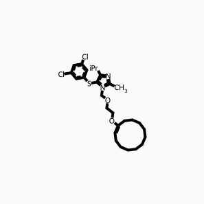 Cc1nc(C(C)C)c(Sc2cc(Cl)cc(Cl)c2)n1COCCO/C1=C/CCCCCCCCCC1